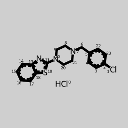 Cl.Clc1ccc(CN2CCN(c3nc4ccccc4s3)CC2)cc1